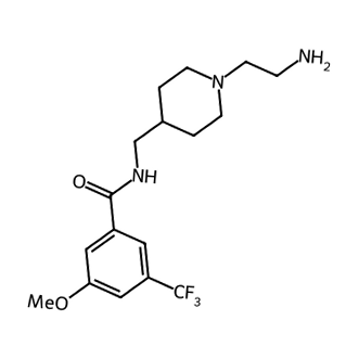 COc1cc(C(=O)NCC2CCN(CCN)CC2)cc(C(F)(F)F)c1